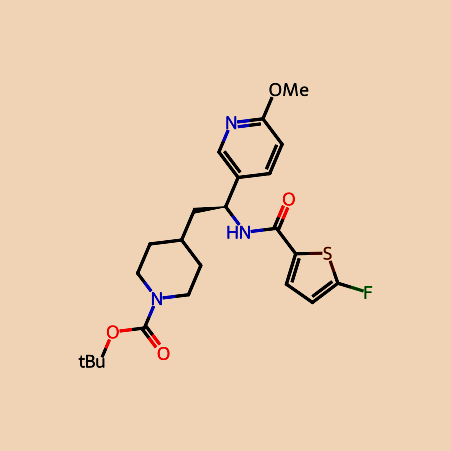 COc1ccc([C@H](CC2CCN(C(=O)OC(C)(C)C)CC2)NC(=O)c2ccc(F)s2)cn1